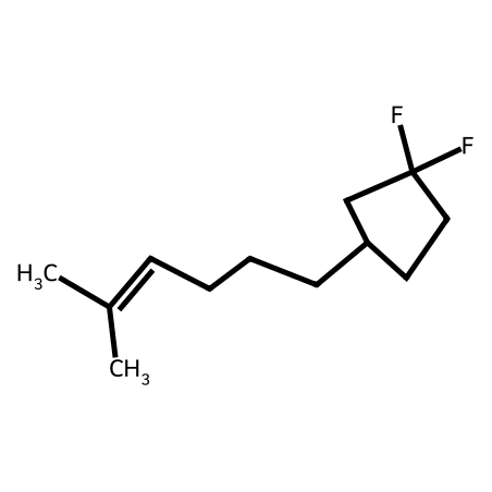 CC(C)=CCCCC1CCC(F)(F)C1